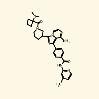 CN(C)C1(C(=O)N2CCCC(c3nc(-c4ccc(C(=O)Nc5cc(C(F)(F)F)ccn5)cc4)c4c(N)nccn34)C2)CCC1